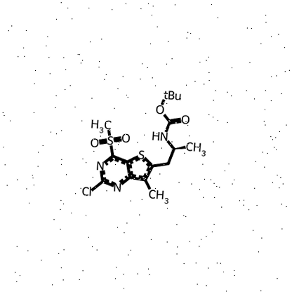 Cc1c(C[C@H](C)NC(=O)OC(C)(C)C)sc2c(S(C)(=O)=O)nc(Cl)nc12